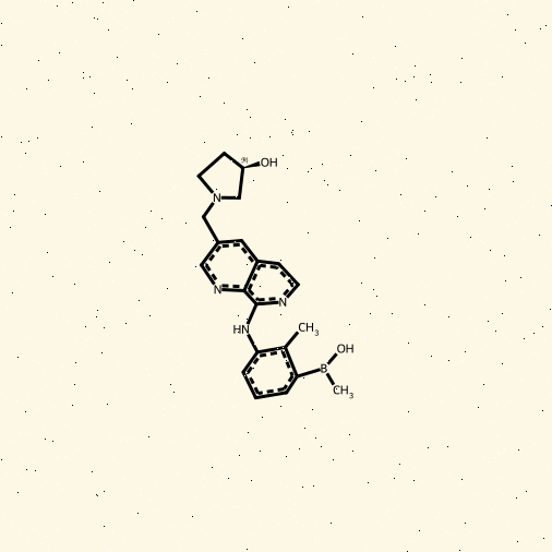 CB(O)c1cccc(Nc2nccc3cc(CN4CC[C@@H](O)C4)cnc23)c1C